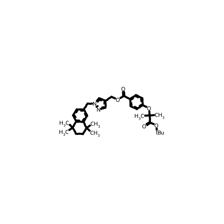 CC(C)(C)OC(=O)C(C)(C)Oc1ccc(C(=O)OCc2cnn(Cc3ccc4c(c3)C(C)(C)CCC4(C)C)c2)cc1